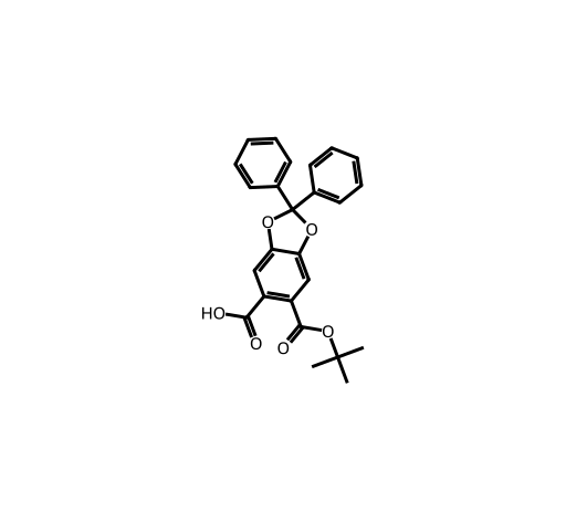 CC(C)(C)OC(=O)c1cc2c(cc1C(=O)O)OC(c1ccccc1)(c1ccccc1)O2